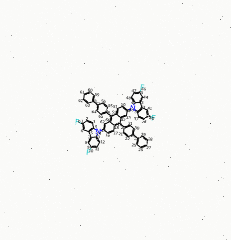 Fc1ccc2c(c1)c1cc(F)ccc1n2-c1ccc2c(-c3ccc(-c4ccccc4)cc3)c3cc(-n4c5ccc(F)cc5c5cc(F)ccc54)ccc3c(-c3ccc(-c4ccccc4)cc3)c2c1